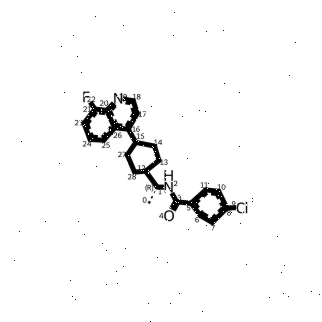 C[C@@H](NC(=O)c1ccc(Cl)cc1)C1CCC(c2ccnc3c(F)cccc23)CC1